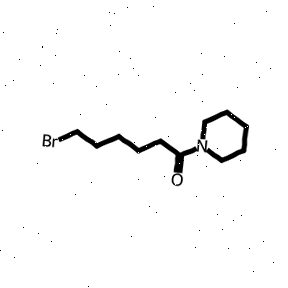 O=C(CCCCCBr)N1CCCCC1